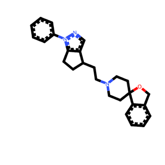 c1ccc(-n2ncc3c2CCC3CCN2CCC3(CC2)OCc2ccccc23)cc1